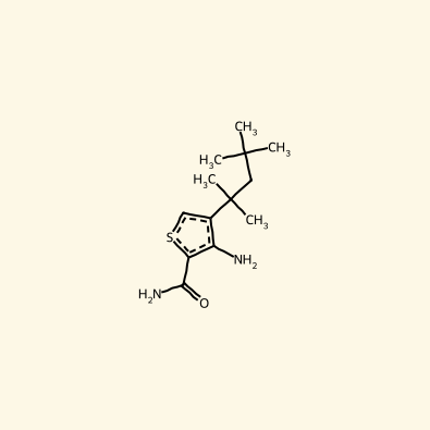 CC(C)(C)CC(C)(C)c1csc(C(N)=O)c1N